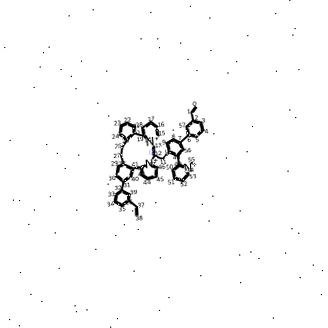 C=Cc1cccc(-c2ccc(C/C3=C/[n+]4ccccc4-c4ccccc4CCc4ccc(-c5cccc(C=C)c5)cc4-c4cccc[n+]43)c(-c3cccc[n+]3C)c2)c1